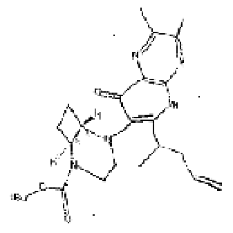 C=CCC(C)c1[nH]c2nc(C)c(C)nc2c(=O)c1N1CCN(C(=O)OC(C)(C)C)[C@H]2CC[C@@H]21